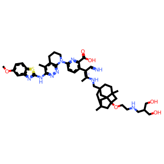 COc1ccc2sc(Nc3nnc4c(c3C)CCCN4c3ccc(/C(C=N)=C(\C)NCC45CCC6(C)CC7(OCCNCC(CO)CO)CC(C)(C4)CC67C5)c(C(=O)O)n3)nc2c1